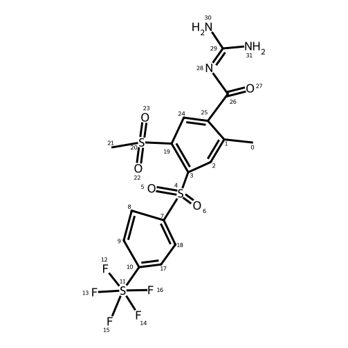 Cc1cc(S(=O)(=O)c2ccc(S(F)(F)(F)(F)F)cc2)c(S(C)(=O)=O)cc1C(=O)N=C(N)N